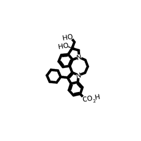 O=C(O)c1ccc2c(C3CCCCC3)c3n(c2c1)CCCN1C[C@](O)(CO)c2cccc-3c21